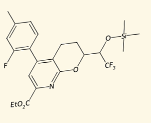 CCOC(=O)c1cc(-c2ccc(C)cc2F)c2c(n1)OC(C(O[Si](C)(C)C)C(F)(F)F)CC2